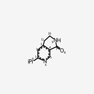 CC(C)c1cc2c(cn1)C(=O)NCC2